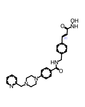 O=C(/C=C/c1ccc(CNC(=O)c2ccc(N3CCN(Cc4ccccn4)CC3)cc2)cc1)NO